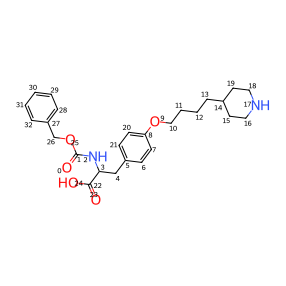 O=C(NC(Cc1ccc(OCCCCC2CCNCC2)cc1)C(=O)O)OCc1ccccc1